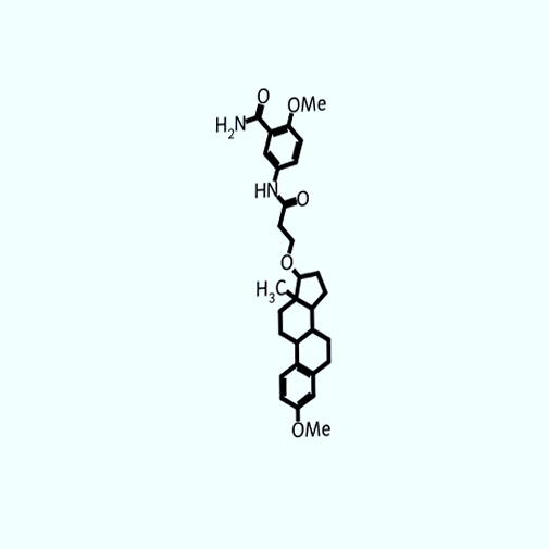 COc1ccc2c(c1)CCC1C2CCC2(C)C(OCCC(=O)Nc3ccc(OC)c(C(N)=O)c3)CCC12